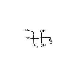 CC(O)(CO)C(O)(O)C=O